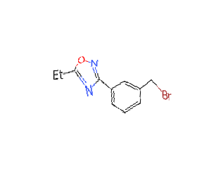 CCc1nc(-c2cccc(CBr)c2)no1